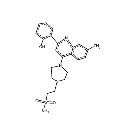 Cc1ccc2c(N3CCN(CCS(C)(=O)=O)CC3)nc(-c3ccccc3O)nc2c1